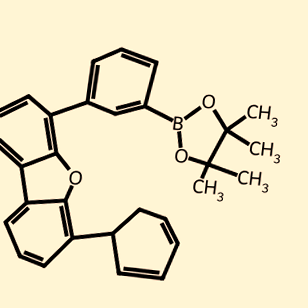 CC1(C)OB(c2cccc(-c3cccc4c3oc3c(C5C=CC=CC5)cccc34)c2)OC1(C)C